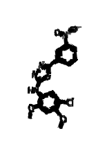 COc1cc(OC)c(Nc2nnc(-c3cccc([N+](=O)[O-])c3)s2)cc1Cl